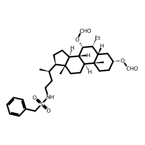 CC[C@H]1[C@@H](OC=O)[C@@H]2[C@H](CC[C@]3(C)[C@@H]([C@H](C)CCNS(=O)(=O)Cc4ccccc4)CC[C@@H]23)[C@@]2(C)CC[C@@H](OC=O)C[C@@H]12